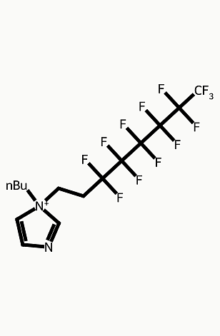 CCCC[N+]1(CCC(F)(F)C(F)(F)C(F)(F)C(F)(F)C(F)(F)C(F)(F)F)C=CN=C1